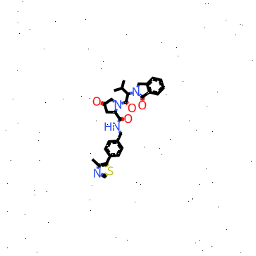 Cc1ncsc1-c1ccc(CNC(=O)C2CC(=O)CN2C(=O)C(C(C)C)N2Cc3ccccc3C2=O)cc1